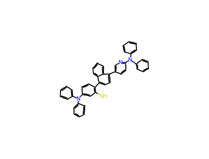 Sc1cc(N(c2ccccc2)c2ccccc2)ccc1-c1ccc(-c2ccc(N(c3ccccc3)c3ccccc3)nc2)c2ccccc12